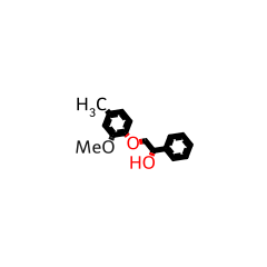 COc1cc(C)ccc1OCC(O)c1ccccc1